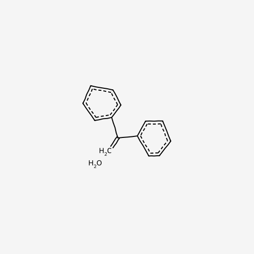 C=C(c1ccccc1)c1ccccc1.O